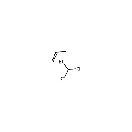 C=CC.CCC(Cl)Cl